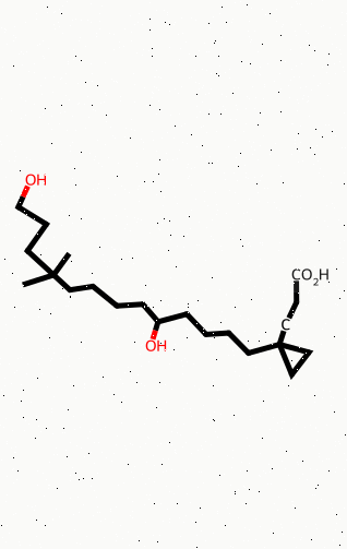 CC(C)(CCCO)CCCCC(O)CCCCC1(CCC(=O)O)CC1